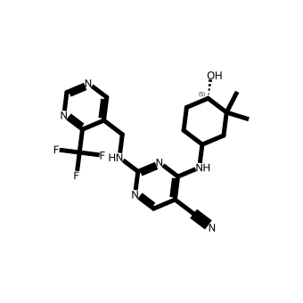 CC1(C)CC(Nc2nc(NCc3cncnc3C(F)(F)F)ncc2C#N)CC[C@@H]1O